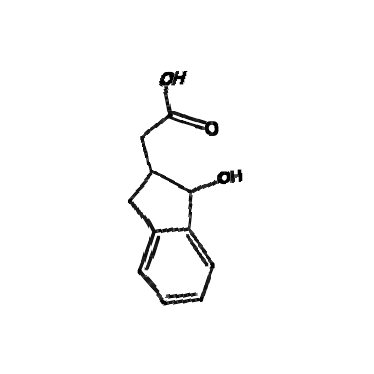 O=C(O)CC1Cc2ccccc2C1O